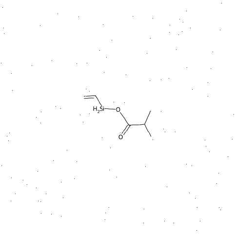 C=C[SiH2]OC(=O)C(C)C